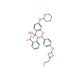 CCCN1CC(Oc2ccc(C3Oc4cc(OC5CCCCO5)ccc4C(C)(O)C3c3ccccc3C(C)C)cc2)C1